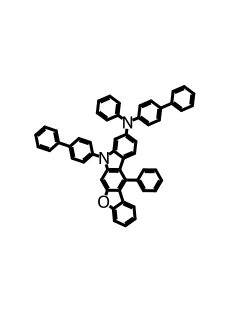 c1ccc(-c2ccc(N(c3ccccc3)c3ccc4c5c(-c6ccccc6)c6c(cc5n(-c5ccc(-c7ccccc7)cc5)c4c3)oc3ccccc36)cc2)cc1